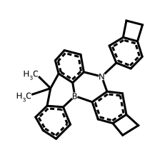 CC1(C)c2ccccc2B2c3cc4c(cc3N(c3ccc5c(c3)CC5)c3cccc1c32)CC4